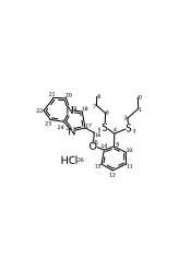 CCCSC(SCCC)c1ccccc1OCc1cn2ccccc2n1.Cl